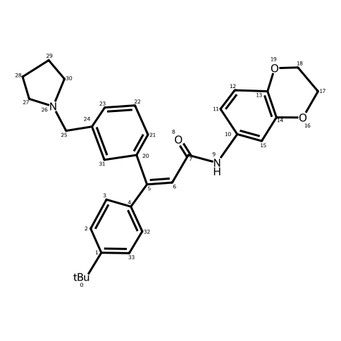 CC(C)(C)c1ccc(C(=CC(=O)Nc2ccc3c(c2)OCCO3)c2cccc(CN3CCCC3)c2)cc1